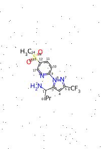 CC(C)C(N)c1cc(C(F)(F)F)nn1-c1ccc(S(C)(=O)=O)cn1